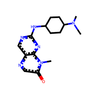 CN(C)C1CCC(Nc2ncc3ncc(=O)n(C)c3n2)CC1